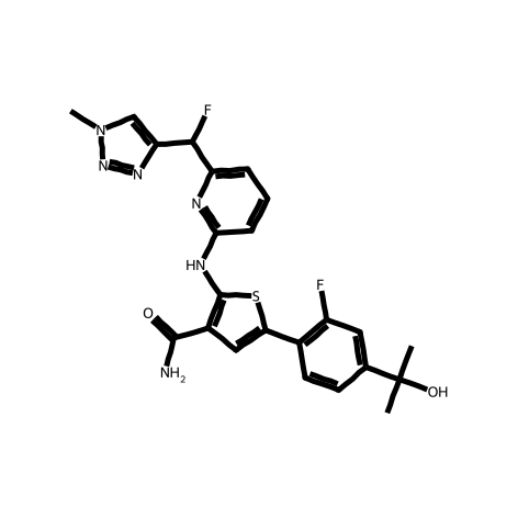 Cn1cc(C(F)c2cccc(Nc3sc(-c4ccc(C(C)(C)O)cc4F)cc3C(N)=O)n2)nn1